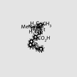 CCC(C)(n1ncc(-c2ccc(-c3ccc4cccc(C(=O)Nc5nc6ncccc6s5)c4c3)nc2C(=O)O)c1C)C12CC3(C)CC(C)(CC(OCCNC)(C3)C1)C2